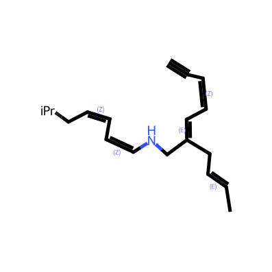 C#C/C=C\C=C(/C/C=C/C)CN/C=C\C=C/CC(C)C